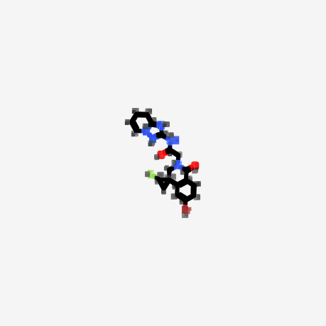 O=C(CN1C[C@]2(C[C@H]2F)c2cc(Br)ccc2C1=O)Nc1nc2ccccn2n1